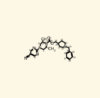 C[C@@H]1CN(c2ncc(C#N)cn2)C[C@H](C)N1C(=O)OCC1CCN(Cc2ccccc2)CC1